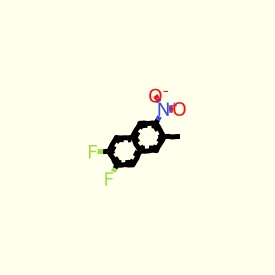 Cc1cc2cc(F)c(F)cc2cc1[N+](=O)[O-]